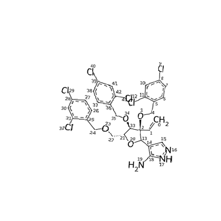 C=C[C@]1(OCc2ccc(Cl)cc2Cl)C(c2cn[nH]c2N)O[C@H](COCc2ccc(Cl)cc2Cl)[C@H]1OCc1ccc(Cl)cc1Cl